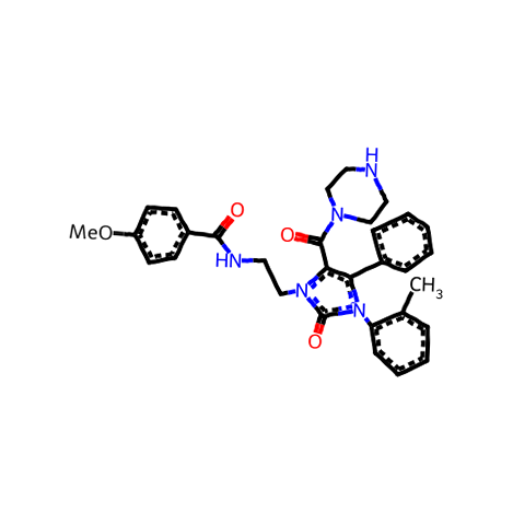 COc1ccc(C(=O)NCCn2c(C(=O)N3CCNCC3)c(-c3ccccc3)n(-c3ccccc3C)c2=O)cc1